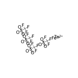 O=S(=O)([O-])C(F)(F)F.O=S(=O)([O-])C(F)(F)F.O=S(=O)([O-])C(F)(F)F.O=S(=O)([O-])C(F)(F)F.[Fe+2].[Zn+2]